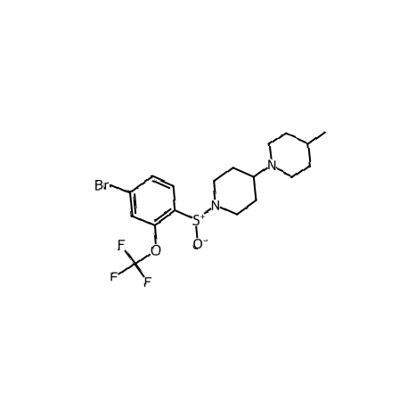 CC1CCN(C2CCN([S+]([O-])c3ccc(Br)cc3OC(F)(F)F)CC2)CC1